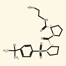 CCCCCCCCCCCCNC(=O)[C@@H]1CCCN1C(=O)[C@@H]1CCCN1S(=O)(=O)c1ccc(C(C)(C)CC)cc1